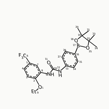 CCOc1ccc(C(F)(F)F)cc1NC(=O)Nc1ccc(B2OC(C)(C)C(C)(C)O2)cc1